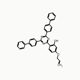 C=CCOc1ccc(-c2nc(-c3ccc(-c4ccccc4)cc3)nc(-c3ccc(-c4ccccc4)cc3)n2)c(O)c1